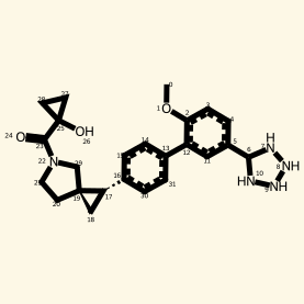 COc1ccc(C2NNNN2)cc1-c1ccc([C@@H]2C[C@]23CCN(C(=O)C2(O)CC2)C3)cc1